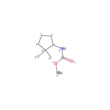 CC(C)(C)OC(=O)NC1CCCC1(C)F